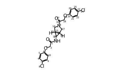 O=C(COc1ccc(Cl)cc1)N[C@@H]1[C@@H]2CN(C(=O)COc3ccc(Cl)cc3)C[C@@H]21